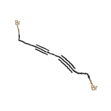 BrCC#CC#CCBr